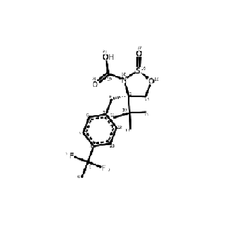 CC(F)(F)c1ccc(C[C@@]2(C(C)(C)C)CO[S@](=O)N2C(=O)O)cc1